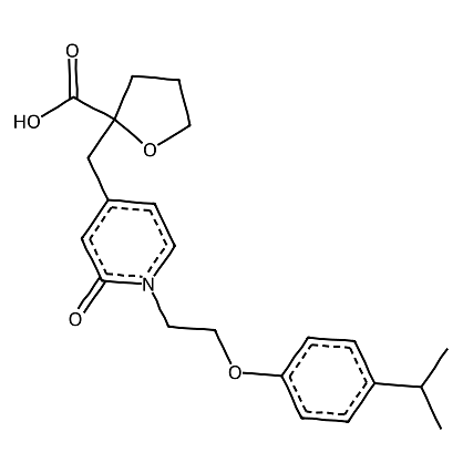 CC(C)c1ccc(OCCn2ccc(CC3(C(=O)O)CCCO3)cc2=O)cc1